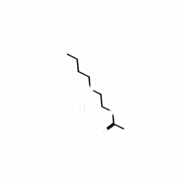 CCCCOCCOC(C)=O.[Ag]